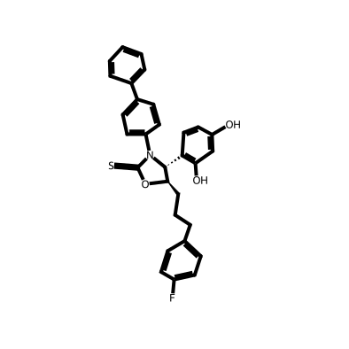 Oc1ccc([C@@H]2[C@@H](CCCc3ccc(F)cc3)OC(=S)N2c2ccc(-c3ccccc3)cc2)c(O)c1